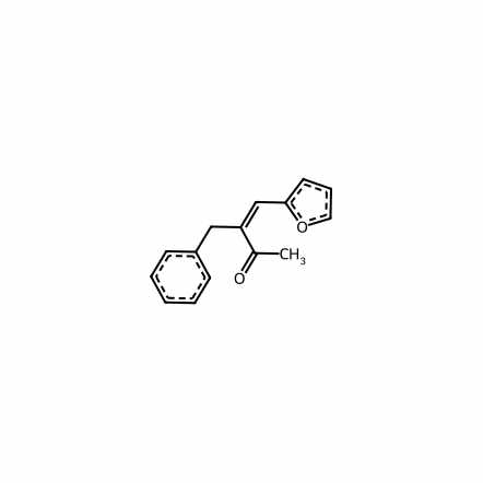 CC(=O)C(=Cc1ccco1)Cc1ccccc1